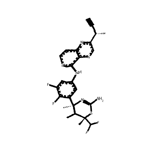 C#C[C@H](C)c1cnc2c(Nc3cc(F)c(F)c([C@@]4(C)N=C(N)S[C@](C)(C(F)F)C4C)c3)nccc2n1